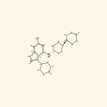 Clc1nc(N[C@H]2CC[C@H](N3CCOCC3)CC2)c2c(C3CCOCC3)nsc2n1